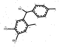 Cc1ccc(C(C#N)c2cc(S)c(C(C)(C)C)cc2C)cc1